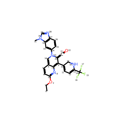 CCOc1ccc2c(n1)=C(C1=CC=C(C(F)(F)F)NC1)C(=C=O)N(c1ccc3ncn(C)c3c1)C=2